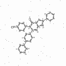 O=c1c2cn(-c3ccccc3)nc2nc(-c2ccc(-c3cccnn3)cc2)n1-c1ccc(Cl)cc1